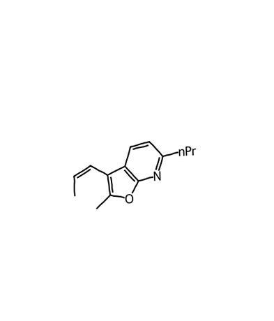 C/C=C\c1c(C)oc2nc(CCC)ccc12